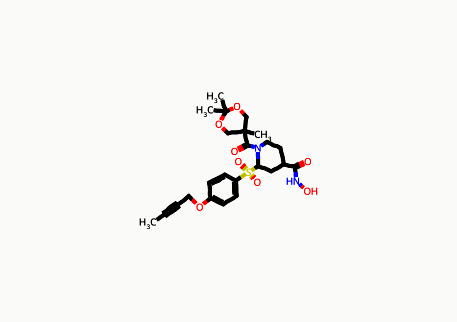 CC#CCOc1ccc(S(=O)(=O)C2CC(C(=O)NO)CCN2C(=O)C2(C)COC(C)(C)OC2)cc1